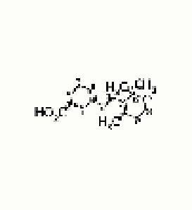 CC1=C(/C=C/c2cccc(C(=O)O)c2)C(C)(C)CCC1